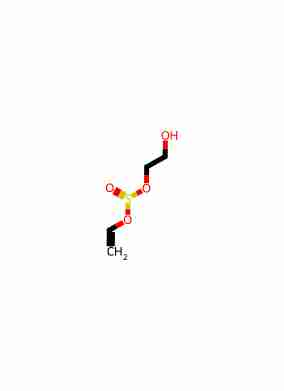 C=COS(=O)OCCO